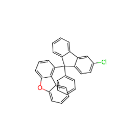 Clc1ccc2c(c1)-c1ccccc1C2(c1ccccc1)c1cccc2oc3ccccc3c12